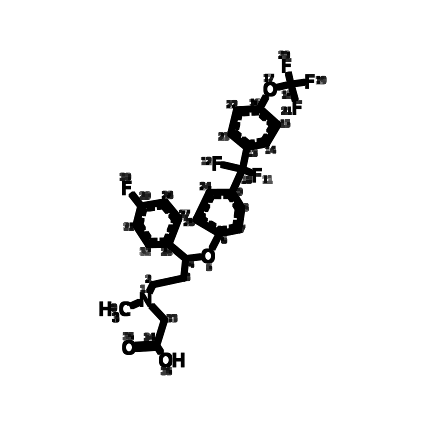 CN(CCC(Oc1ccc(C(F)(F)c2ccc(OC(F)(F)F)cc2)cc1)c1ccc(F)cc1)CC(=O)O